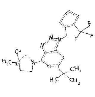 CC(C)(C)c1nc(N2CC[C@](C)(O)C2)c2nnn(Cc3ccccc3C(F)(F)F)c2n1